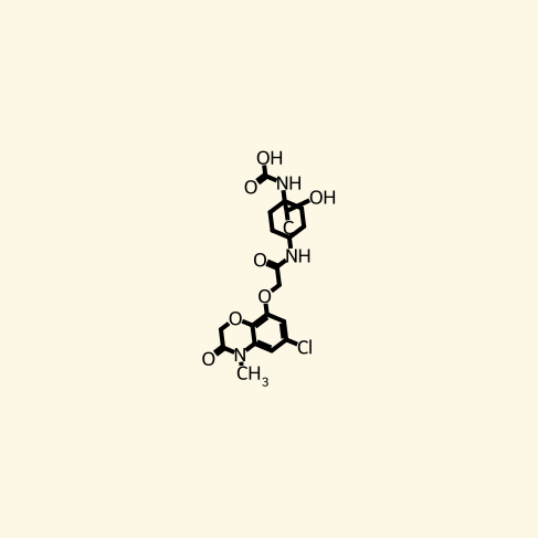 CN1C(=O)COc2c(OCC(=O)NC34CCC(NC(=O)O)(CC3)C(O)C4)cc(Cl)cc21